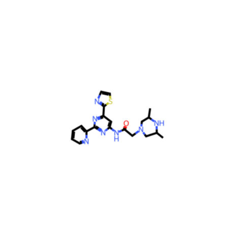 CC1CN(CC(=O)Nc2cc(-c3nccs3)nc(-c3ccccn3)n2)CC(C)N1